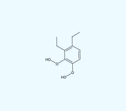 CCc1ccc(OO)c(OO)c1CC